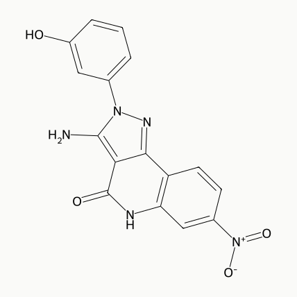 Nc1c2c(=O)[nH]c3cc([N+](=O)[O-])ccc3c2nn1-c1cccc(O)c1